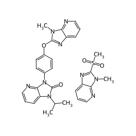 CC(C)n1c(=O)n(-c2ccc(Oc3nc4cccnc4n3C)cc2)c2ncccc21.Cn1c(S(C)(=O)=O)nc2cccnc21